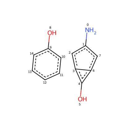 Nc1cc2c(O)c-2c1.Oc1ccccc1